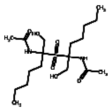 CCCCCC(CO)(NC(C)=O)S(=O)(=O)C(CO)(CCCCC)NC(C)=O